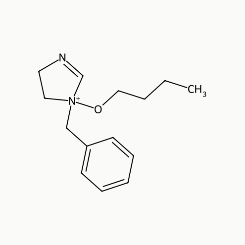 CCCCO[N+]1(Cc2ccccc2)C=NCC1